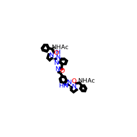 CC(=O)N[C@H](C(=O)N1CCC[C@H]1c1nc2cc(-c3cnc(-c4cccc5[nH]c([C@@H]6CCCN6C(=O)[C@H](NC(C)=O)c6ccccc6)nc45)o3)ccc2[nH]1)c1ccccc1